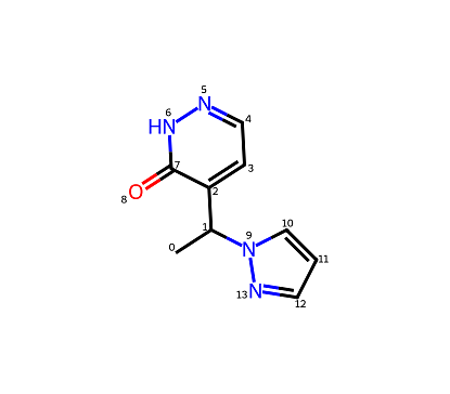 CC(c1ccn[nH]c1=O)n1cccn1